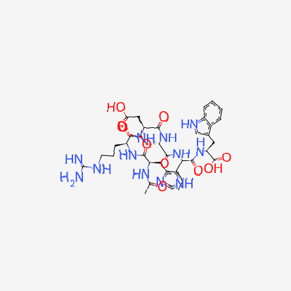 CC[C@H](C)[C@H](NC(=O)[C@H](CC(C)C)NC(=O)[C@H](CC(=O)O)NC(=O)[C@H](CCCNC(=N)N)NC(=O)[C@@H](Cc1c[nH]cn1)NC(C)=O)C(=O)N[C@@H](Cc1c[nH]c2ccccc12)C(=O)O